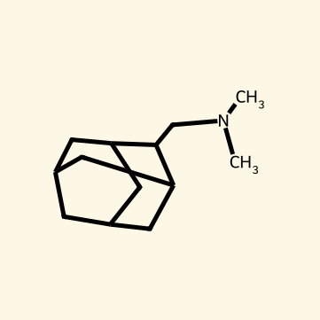 CN(C)CC1C2CC3CC(C2)CC1C3